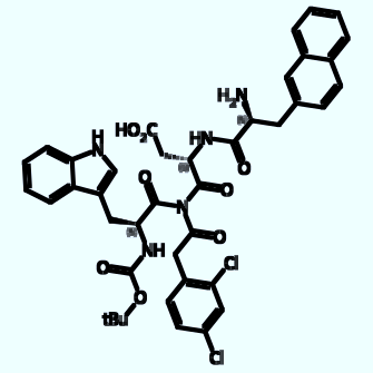 CC(C)(C)OC(=O)N[C@@H](Cc1c[nH]c2ccccc12)C(=O)N(C(=O)Cc1ccc(Cl)cc1Cl)C(=O)[C@H](CC(=O)O)NC(=O)[C@@H](N)Cc1ccc2ccccc2c1